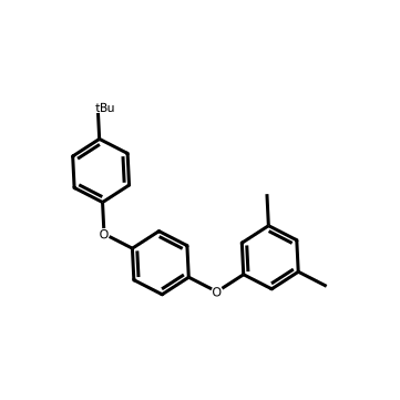 Cc1cc(C)cc(Oc2ccc(Oc3ccc(C(C)(C)C)cc3)cc2)c1